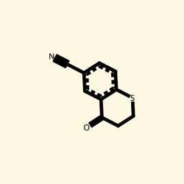 N#Cc1ccc2c(c1)C(=O)CCS2